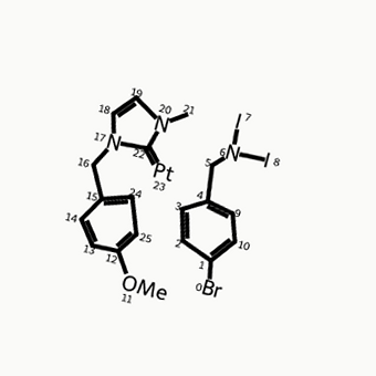 Brc1ccc(CN(I)I)cc1.COc1ccc(Cn2ccn(C)[c]2=[Pt])cc1